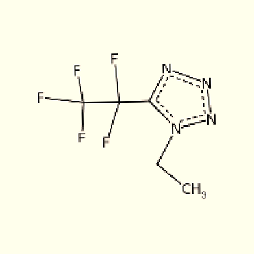 CCn1nnnc1C(F)(F)C(F)(F)F